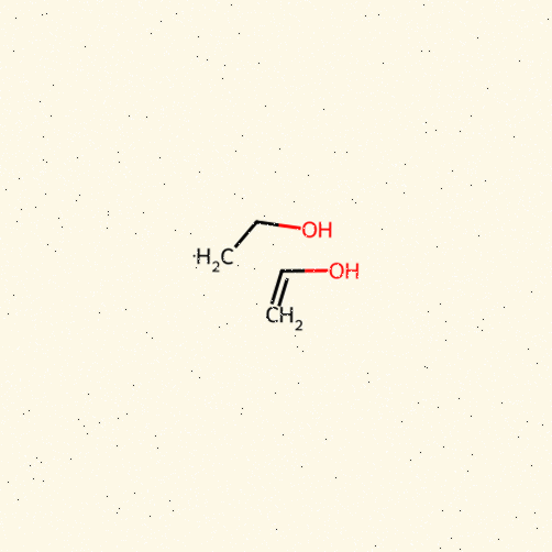 C=CO.[CH2]CO